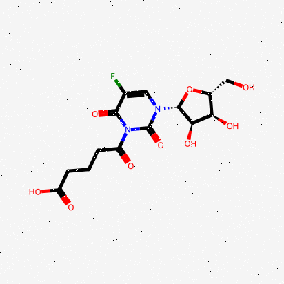 O=C(O)CCCC(=O)n1c(=O)c(F)cn([C@@H]2O[C@H](CO)[C@@H](O)[C@H]2O)c1=O